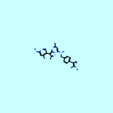 Cc1cc(N(C)Cc2ccc(-c3cnn(C)c3C)cc2)n2nc(C)c(-c3cnc(N(C)C)cc3C)c2n1